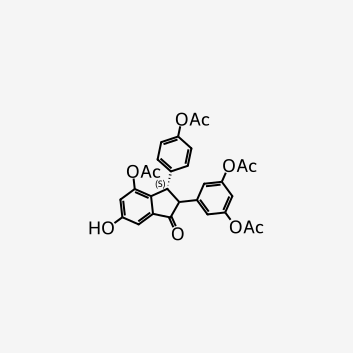 CC(=O)Oc1ccc([C@H]2c3c(OC(C)=O)cc(O)cc3C(=O)C2c2cc(OC(C)=O)cc(OC(C)=O)c2)cc1